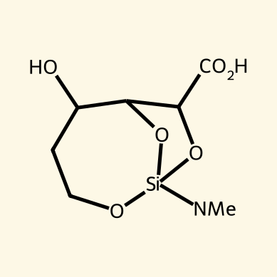 CN[Si]12OCCC(O)C(O1)C(C(=O)O)O2